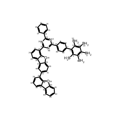 Bc1c(B)c(B)c(-c2ccc(-c3nc(-c4ccccc4)nc(-c4cccc5c4oc4ccc(-c6cccc7c6oc6ccccc67)cc45)n3)cc2)c(B)c1B